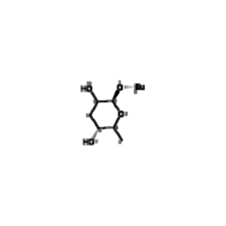 CC[C@@H](C)O[C@H]1OC(C)[C@H](O)CC1O